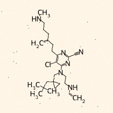 C=CNCCN(CC1(CC(C)(C)C)CC1)c1nc(C#N)nc(CCC(=C)CCCNC)c1Cl